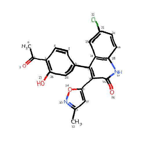 CC(=O)c1ccc(-c2c(-c3cc(C)no3)c(=O)[nH]c3ccc(Cl)cc23)cc1O